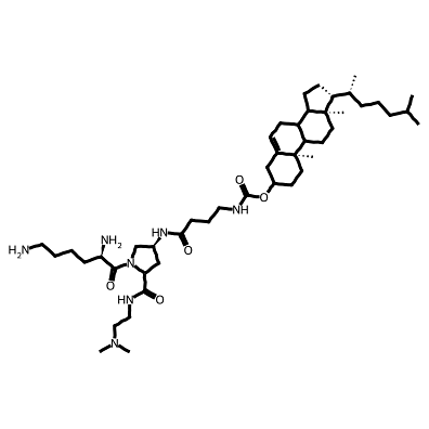 CC(C)CCC[C@@H](C)[C@H]1CCC2C3CC=C4CC(OC(=O)NCCCC(=O)N[C@H]5CC(C(=O)NCCN(C)C)N(C(=O)[C@H](N)CCCCN)C5)CC[C@]4(C)C3CC[C@@]21C